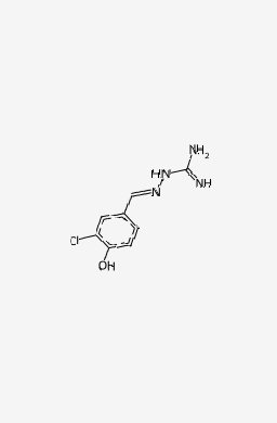 N=C(N)NN=Cc1ccc(O)c(Cl)c1